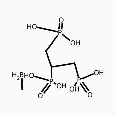 BC.O=P(O)(O)CC(CP(=O)(O)O)P(=O)(O)O